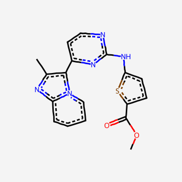 COC(=O)c1ccc(Nc2nccc(-c3c(C)nc4ccccn34)n2)s1